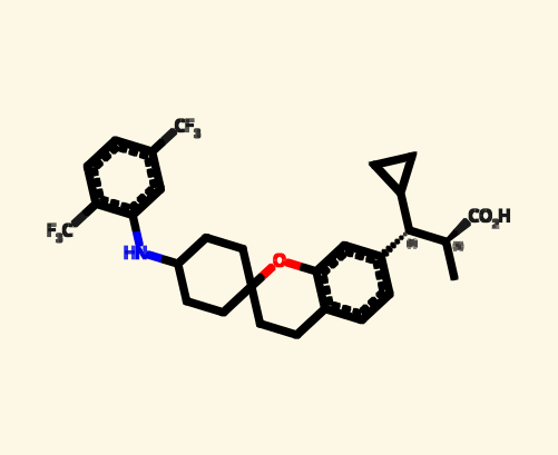 C[C@H](C(=O)O)[C@H](c1ccc2c(c1)OC1(CC2)CCC(Nc2cc(C(F)(F)F)ccc2C(F)(F)F)CC1)C1CC1